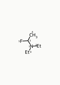 CCN(CC)C(C)F